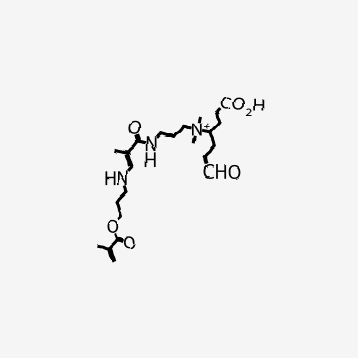 C=C(C)C(=O)OCCCNC=C(C)C(=O)NCCC[N+](C)(C)C(CCC=O)CCC(=O)O